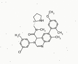 COc1ccc(C)c(-c2cc3c(cc2C)N=CN(c2cc(C)cc(Cl)c2)C3C(=O)N(C)C[C@@H]2CCCN2)c1